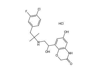 CC(C)(Cc1ccc(Cl)c(F)c1)NCC(O)c1cc(O)cc2c1OCC(=O)N2.Cl